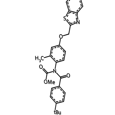 COC(=O)N(C(=O)c1ccc(C(C)(C)C)cc1)c1ccc(OCc2nc3ccccc3s2)cc1C